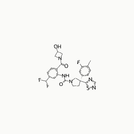 Cc1ccc([C@]2(c3ncns3)CCN(C(=O)Nc3cc(C(F)F)ccc3C(=O)N3CC(O)C3)C2)cc1F